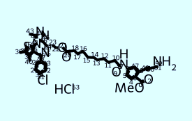 COC(=O)c1ccc(NC(=O)CCCCCCCCCC(=O)OCC[C@@H]2N=C(c3ccc(Cl)cc3)c3c(sc(C)c3C)-n3c(C)nnc32)cc1C#CCN.Cl